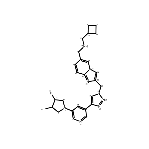 FC1CN(c2cncc(-c3cn(Cc4cn5cc(CNCC6CCC6)ccc5n4)nn3)c2)CC1F